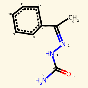 C/C(=N/NC(N)=O)c1ccccc1